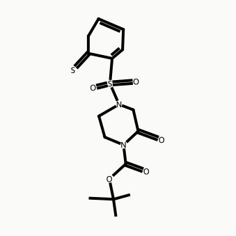 CC(C)(C)OC(=O)N1CCN(S(=O)(=O)C2=CC=CCC2=S)CC1=O